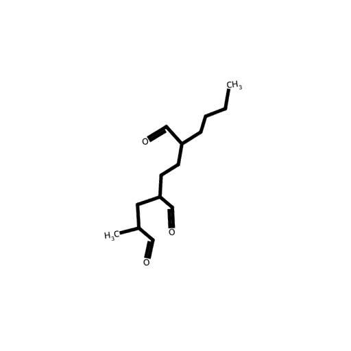 CCCCC(C=O)CCC(C=O)CC(C)C=O